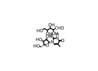 Cc1cn([C@@H]2O[C@H](CO)[C@@H](O)[C@H]2O)c(=O)[nH]c1=O.O=CC(O)C(O)C(O)CO